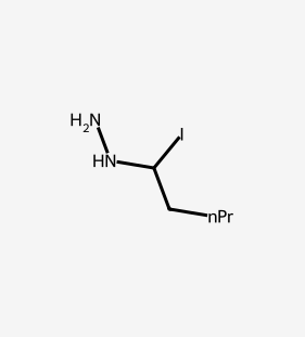 CCCCC(I)NN